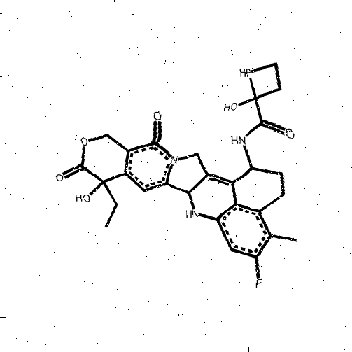 CCC1(O)C(=O)OCc2c1cc1n(c2=O)CC2=C3c4c(cc(F)c(C)c4CCC3NC(=O)C3(O)CCP3)NC21